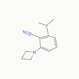 CC(C)c1cccc(N2CCC2)c1C#N